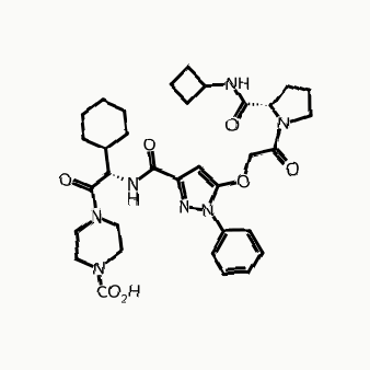 O=C(N[C@H](C(=O)N1CCN(C(=O)O)CC1)C1CCCCC1)c1cc(OCC(=O)N2CCC[C@H]2C(=O)NC2CCC2)n(-c2ccccc2)n1